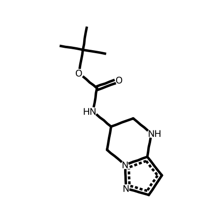 CC(C)(C)OC(=O)NC1CNc2ccnn2C1